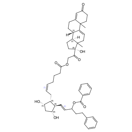 CC12CCC(=O)C=C1CC[C@@H]1C2=CCC2(C)[C@H]1CC[C@]2(O)C(=O)COC(=O)CCC/C=C\C[C@@H]1[C@@H](/C=C/C(CCc2ccccc2)OC(=O)c2ccccc2)[C@H](O)C[C@@H]1O